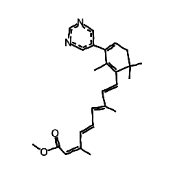 COC(=O)\C=C(C)/C=C/C=C(C)/C=C/C1=C(C)C(c2cncnc2)=CCC1(C)C